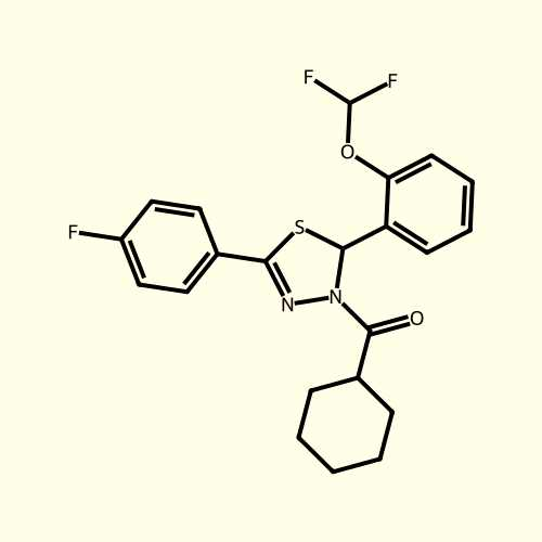 O=C(C1CCCCC1)N1N=C(c2ccc(F)cc2)SC1c1ccccc1OC(F)F